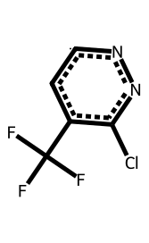 FC(F)(F)c1c[c]nnc1Cl